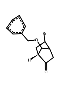 O=C1CC2C(Br)C[C@@H]1C2OCc1ccccc1